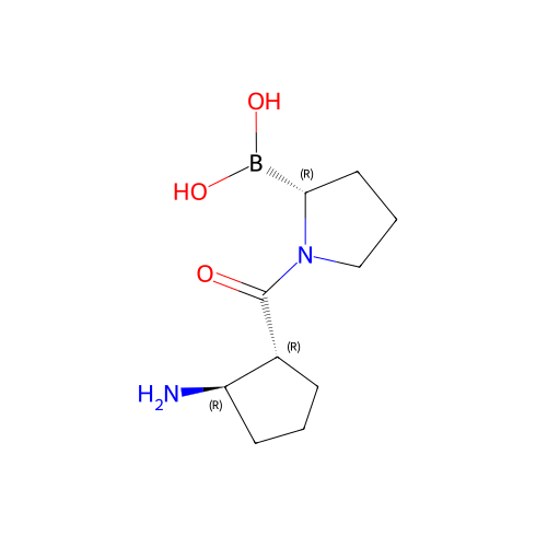 N[C@@H]1CCC[C@H]1C(=O)N1CCC[C@H]1B(O)O